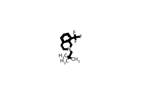 CC(C)(C)CN1CCc2cccc(C(F)(F)F)c2C1